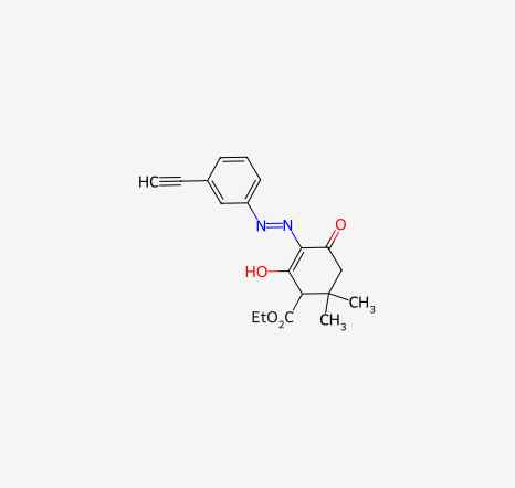 C#Cc1cccc(/N=N/C2=C(O)C(C(=O)OCC)C(C)(C)CC2=O)c1